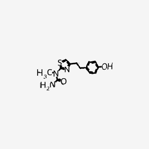 CN(C(N)=O)c1nc([CH]Cc2ccc(O)cc2)cs1